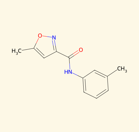 Cc1cccc(NC(=O)c2cc(C)on2)c1